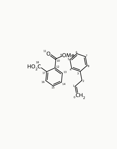 C=CCc1ccccc1.COC(=O)c1ccccc1C(=O)O